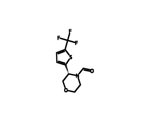 O=CN1CCOC[C@@H]1c1ccc(C(F)(F)F)s1